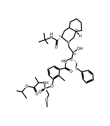 COCP(=O)(NC(C)C(=O)OC(C)C)Oc1cccc(C(=O)N[C@@H](CSc2ccccc2)[C@H](O)CN2C[C@H]3CCCCC3C[C@H]2C(=O)NC(C)(C)C)c1C